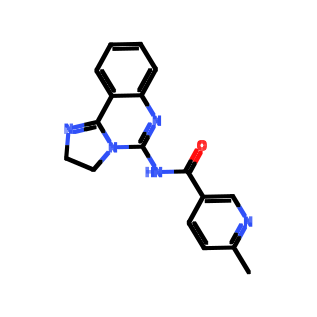 Cc1ccc(C(=O)NC2=Nc3ccccc3C3=NCCN23)cn1